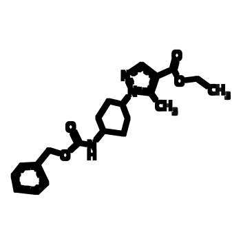 CCOC(=O)c1cnn(C2CCC(NC(=O)OCc3ccccc3)CC2)c1C